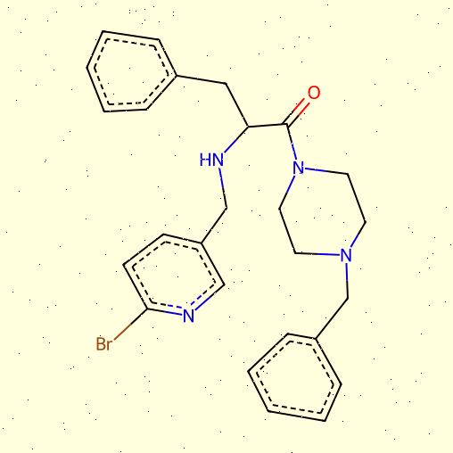 O=C(C(Cc1ccccc1)NCc1ccc(Br)nc1)N1CCN(Cc2ccccc2)CC1